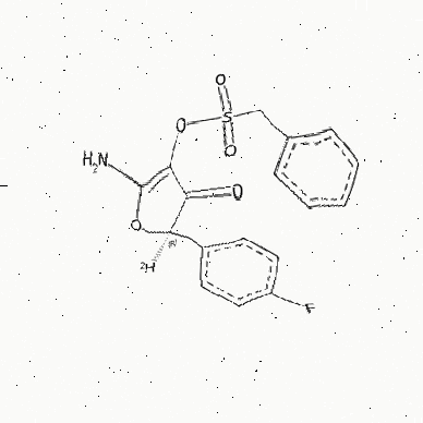 [2H][C@]1(c2ccc(F)cc2)OC(N)=C(OS(=O)(=O)Cc2ccccc2)C1=O